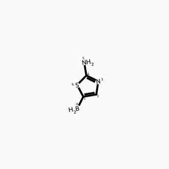 Bc1cnc(N)s1